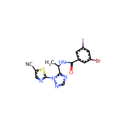 CC(NC(=O)c1cc(Br)cc(I)c1)c1ncnn1-c1ncc(C#N)s1